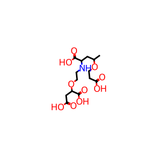 CC(CC(NCCOC(CC(=O)O)C(=O)O)C(=O)O)OCCC(=O)O